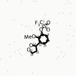 COc1c(OS(=O)(=O)C(F)(F)F)cccc1C1CCOO1